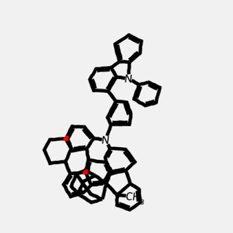 CC12C=CC=CC1c1ccc(N(c3cccc(-c4cccc5c6ccccc6n(-c6ccccc6)c45)c3)c3ccccc3-c3cccc4cccc(C5CCCCC5)c34)cc1C21C2CC3CC(C2)CC1C3